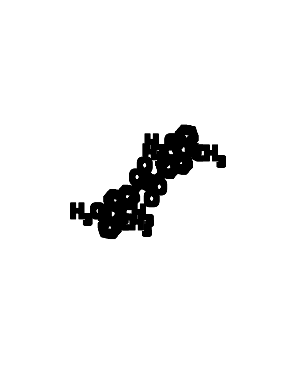 CN1c2ccccc2C(C)(C)c2c1ccc1cc(C3=C4C(=O)OC(c5ccc6c7c(ccc6c5)N(C)c5ccccc5C7(C)C)=C4C(=O)O3)ccc21